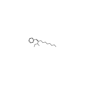 CCCCCCCCC(=Cc1ccccc1)C(C)CC